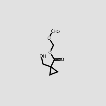 O=COCOC(=O)C1(CO)CC1